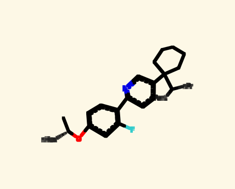 CCCCCC[C@H](C)Oc1ccc(-c2ccc(C3(C(CCC)CCCCC)CCCCC3)cn2)c(F)c1